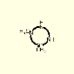 C=[N+]1CCCN(C)CCNCCCNCC1